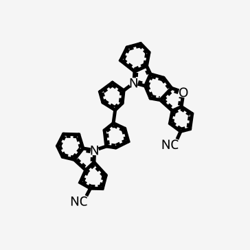 N#Cc1ccc2oc3cc4c5ccccc5n(-c5cccc(-c6cccc(-n7c8ccccc8c8cc(C#N)ccc87)c6)c5)c4cc3c2c1